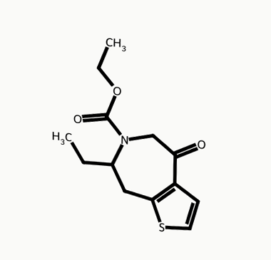 CCOC(=O)N1CC(=O)c2ccsc2CC1CC